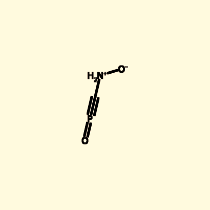 O=P#C[NH2+][O-]